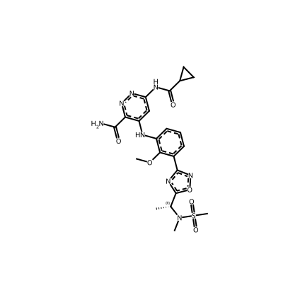 COc1c(Nc2cc(NC(=O)C3CC3)nnc2C(N)=O)cccc1-c1noc([C@@H](C)N(C)S(C)(=O)=O)n1